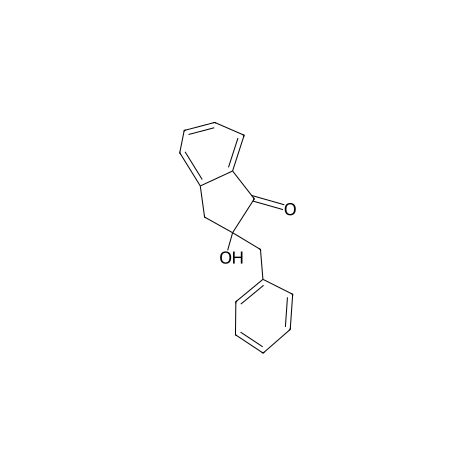 O=C1c2ccccc2CC1(O)Cc1ccccc1